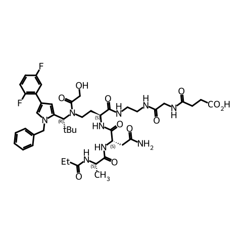 CCC(=O)N[C@@H](C)C(=O)N[C@@H](CC(N)=O)C(=O)N[C@@H](CCN(C(=O)CO)[C@@H](c1cc(-c2cc(F)ccc2F)cn1Cc1ccccc1)C(C)(C)C)C(=O)NCCNC(=O)CNC(=O)CCC(=O)O